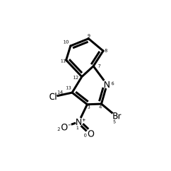 O=[N+]([O-])c1c(Br)nc2ccccc2c1Cl